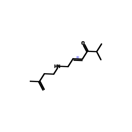 C=C(C)CCNC/C=C/C(=O)C(C)C